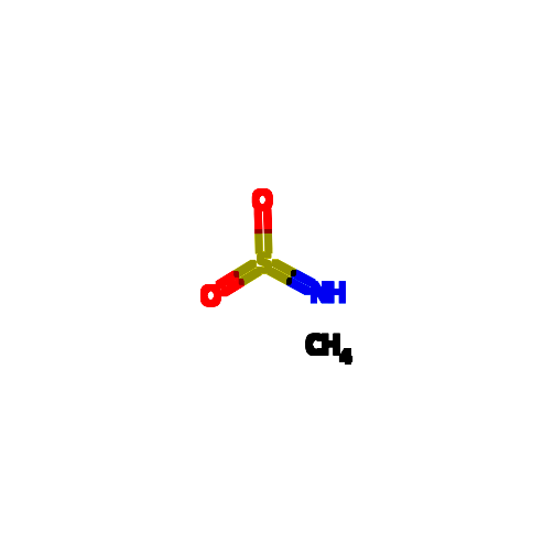 C.N=S(=O)=O